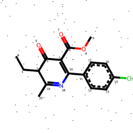 CCC1C(=O)C(C(=O)OC)=C(c2ccc(Cl)cc2)N=C1C